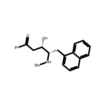 CC(C)C(=O)C[C@H](O)[C@H](Cc1cccc2ccccc12)NC(C)(C)C